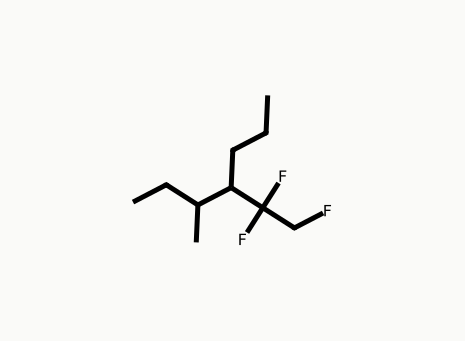 CCCC(C(C)CC)C(F)(F)CF